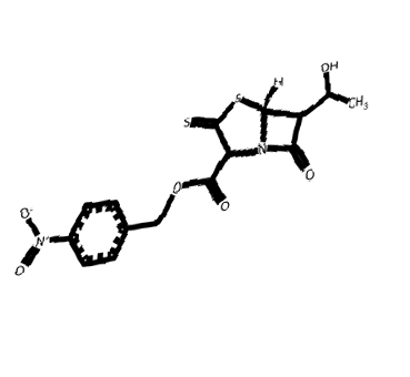 CC(O)C1C(=O)N2C(C(=O)OCc3ccc([N+](=O)[O-])cc3)C(=S)S[C@H]12